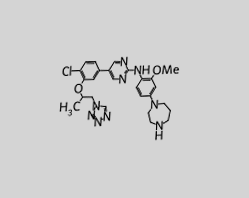 COc1cc(N2CCCNCC2)ccc1Nc1ncc(-c2ccc(Cl)c(OC(C)Cn3cnnn3)c2)cn1